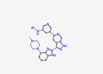 CC(C)Nc1cncc(-c2cc3c(-c4nc5c(N6CCN(C)CC6)cccc5[nH]4)n[nH]c3cn2)c1